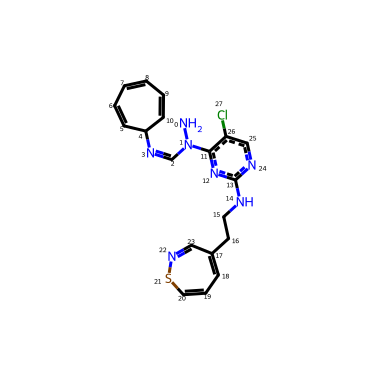 NN(/C=N\C1C=CC=CC=C1)c1nc(NCCC2=CC=CSN=C2)ncc1Cl